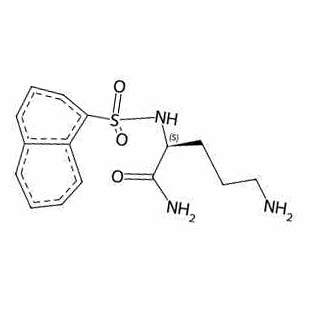 NCCC[C@H](NS(=O)(=O)c1cccc2ccccc12)C(N)=O